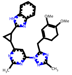 COC1=C(OC)CCC(Cc2nc(C)nn2-c2cc(C3CC3c3nc4ccccc4[nH]3)nc(C)n2)=C1